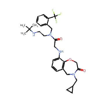 CC(C)(C)NCCN(Cc1ccccc1C(F)(F)F)C(=O)CNc1cccc2c1OCC(=O)N(CC1CC1)C2